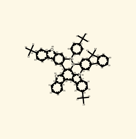 CC(C)(C)c1ccc(N2B3c4cc5c(cc4-n4c6ccc(C(C)(C)C)cc6c6c7c(oc8ccccc87)c(c3c64)-c3cc4c(cc32)oc2cc(C(C)(C)C)ccc24)-c2ccccc2C5(C)C)cc1